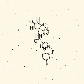 O=C1NC(=O)C(CNC(=O)c2cnn(-c3ccc(F)cc3F)n2)(c2nccs2)N1